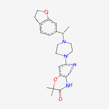 CC(c1ccc2c(c1)OCC2)N1CCN(c2cc3c(cn2)NC(=O)C(C)(C)O3)CC1